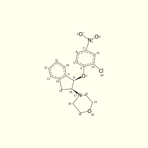 O=[N+]([O-])c1ccc(O[C@@H]2c3ccccc3C[C@@H]2N2CCOCC2)c(Cl)c1